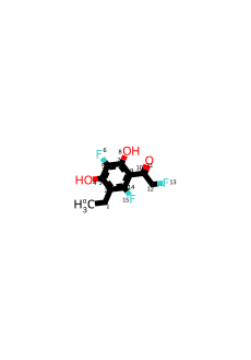 CCc1c(O)c(F)c(O)c(C(=O)CF)c1F